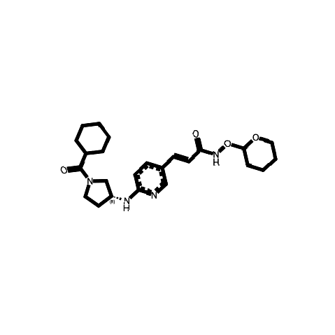 O=C(C=Cc1ccc(N[C@@H]2CCN(C(=O)C3CCCCC3)C2)nc1)NOC1CCCCO1